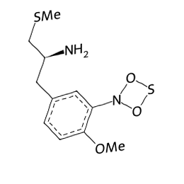 COc1ccc(C[C@H](N)CSC)cc1N1OSO1